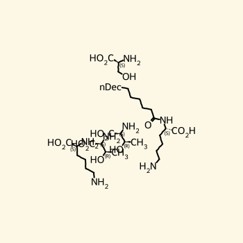 CCCCCCCCCCCCCCCC(=O)N[C@@H](CCCCN)C(=O)O.C[C@@H](O)[C@H](N)C(=O)O.C[C@@H](O)[C@H](N)C(=O)O.NCCCC[C@H](N)C(=O)O.N[C@@H](CO)C(=O)O